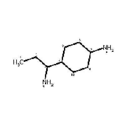 CCC(N)C1CCC(N)CC1